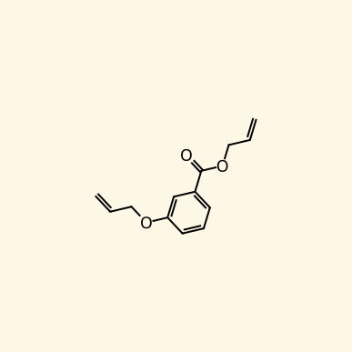 C=CCOC(=O)c1cccc(OCC=C)c1